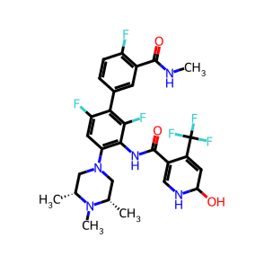 CNC(=O)c1cc(-c2c(F)cc(N3C[C@@H](C)N(C)[C@@H](C)C3)c(NC(=O)C3=CNC(O)C=C3C(F)(F)F)c2F)ccc1F